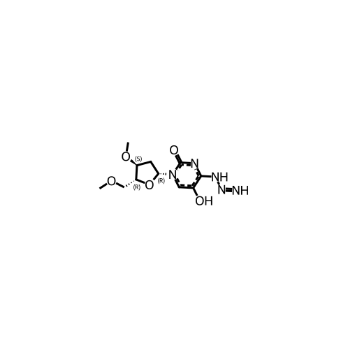 COC[C@H]1O[C@@H](n2cc(O)c(NN=N)nc2=O)C[C@@H]1OC